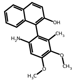 COc1cc(N)c(-c2c(O)ccc3ccccc23)c(C)c1OC